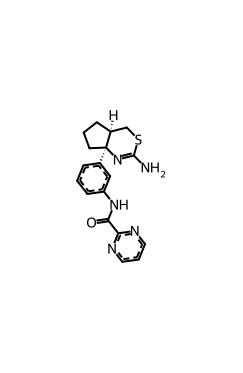 NC1=N[C@@]2(c3cccc(NC(=O)c4ncccn4)c3)CCC[C@H]2CS1